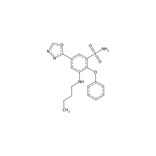 CCCCNc1cc(-c2nnco2)cc(S(N)(=O)=O)c1Oc1ccccc1